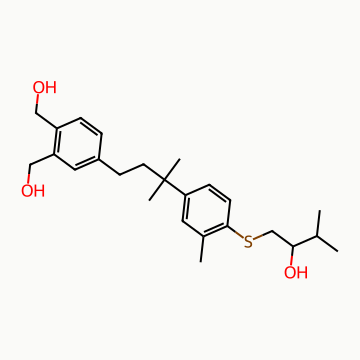 Cc1cc(C(C)(C)CCc2ccc(CO)c(CO)c2)ccc1SCC(O)C(C)C